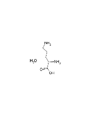 NCCCC(N)C(=O)O.O